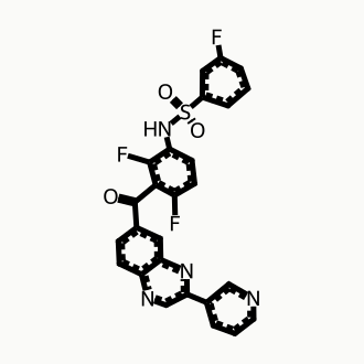 O=C(c1ccc2ncc(-c3cccnc3)nc2c1)c1c(F)ccc(NS(=O)(=O)c2cccc(F)c2)c1F